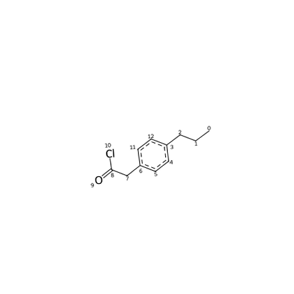 CCCc1ccc(CC(=O)Cl)cc1